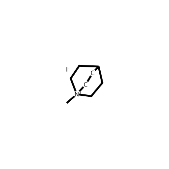 C[N+]12CCC(CC1)CC2.[I-]